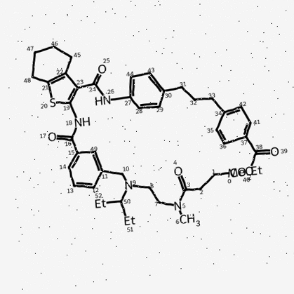 CCOC(=O)CCC(=O)N(C)CCN(Cc1cccc(C(=O)Nc2sc3c(c2C(=O)Nc2ccc(CCCc4ccc(C(=O)OC)cc4)cc2)CCCC3)c1)C(CC)CC